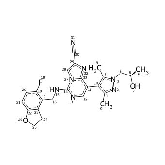 Cc1nn(C[C@@H](C)O)c(C)c1-c1cnc(NCc2c(F)ccc3c2CCO3)n2cc(C#N)nc12